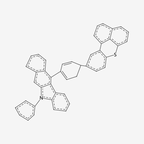 C1=CC(c2ccc3c(c2)-c2cccc4cccc(c24)S3)CC=C1c1c2ccccc2cc2c1c1ccccc1n2-c1ccccc1